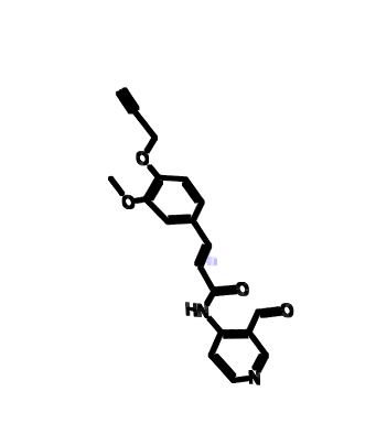 C#CCOc1ccc(/C=C/C(=O)Nc2ccncc2C=O)cc1OC